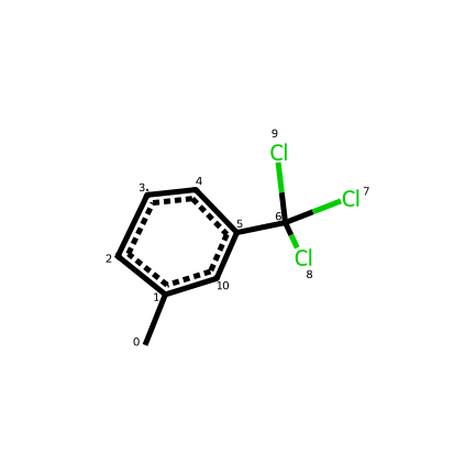 Cc1c[c]cc(C(Cl)(Cl)Cl)c1